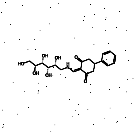 O=C1CC(c2ccccc2)CC(=O)C1=CNC[C@@H](O)[C@H](O)[C@@H](O)[C@@H](O)CO